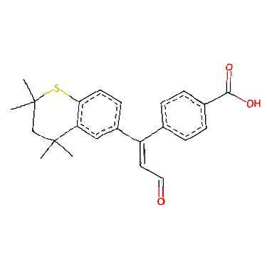 CC1(C)CC(C)(C)c2cc(C(=CC=O)c3ccc(C(=O)O)cc3)ccc2S1